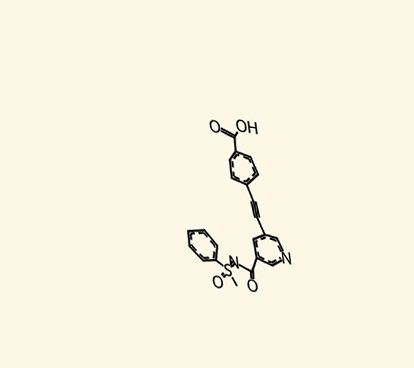 CS(=O)(=NC(=O)c1cncc(C#Cc2ccc(C(=O)O)cc2)c1)c1ccccc1